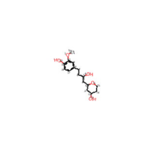 CCOc1cc(CCC(O)CC2CC(O)CCO2)ccc1O